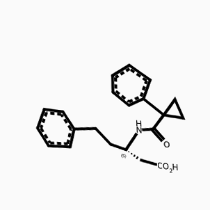 O=C(O)C[C@H](CCc1ccccc1)NC(=O)C1(c2ccccc2)CC1